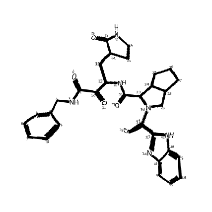 O=C(NCc1ccccc1)C(=O)C(CC1CCNC1=O)NC(=O)C1C2CCCC2CN1C(=O)c1nc2ccccc2[nH]1